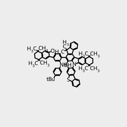 CC(C)(C)c1ccc(Nc2cc3c(cc2-c2c4c(c5c6cc7c(cc6n6c5c2Bc2cc5sc8ccccc8c5cc2-6)C(C)(C)CCC7(C)C)-c2ccccc2C4(C)C)oc2cc4c(cc23)C(C)(C)CCC4(C)C)cc1